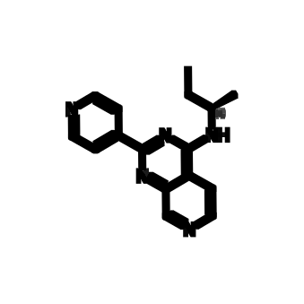 CC[C@@H](C)Nc1nc(-c2ccncc2)nc2cnccc12